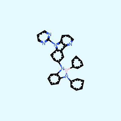 c1ccc(B2N(c3ccccc3)c3ccccc3N2c2ccc3c(c2)c2ncccc2n3-c2ncccn2)cc1